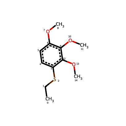 C[CH]Sc1ccc(OC)c(OC)c1OC